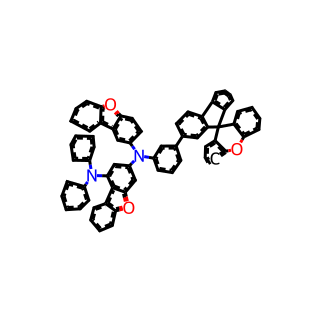 c1ccc(N(c2ccccc2)c2cc(N(c3cccc(-c4ccc5c(c4)C4(c6ccccc6Oc6ccccc64)c4ccccc4-5)c3)c3ccc4oc5ccccc5c4c3)cc3oc4ccccc4c23)cc1